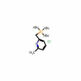 CCCC[P+](CCCC)(CCCC)Cc1cccc(C)n1.[Cl-]